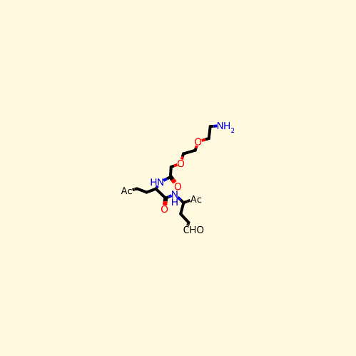 CC(=O)CCC(NC(=O)COCCOCCN)C(=O)NC(CCC=O)C(C)=O